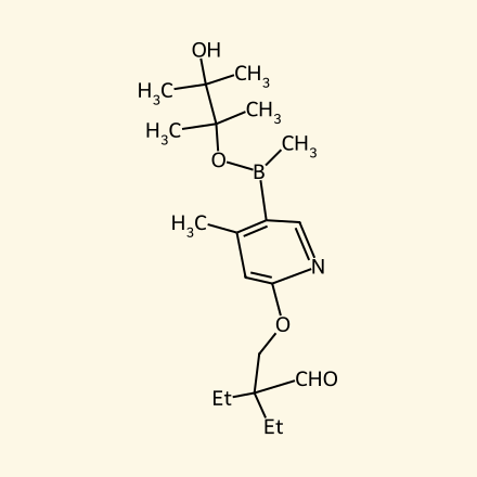 CCC(C=O)(CC)COc1cc(C)c(B(C)OC(C)(C)C(C)(C)O)cn1